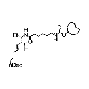 CCCCCCCCCCCCC/C=C/[C@@H](O)[C@H](CC)NC(=O)CCCCCNC(=O)OC1CC/C=C/CCC1